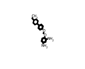 CCC1CCC(c2ccc(OCOc3ccc(N)cc3N)cc2)CC1